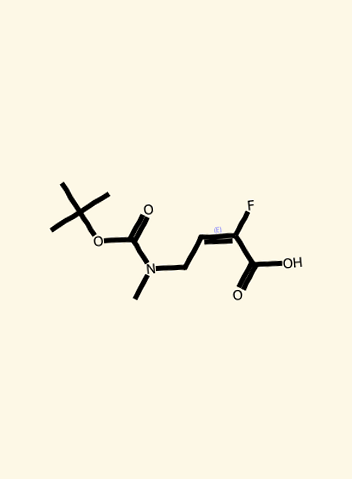 CN(C/C=C(/F)C(=O)O)C(=O)OC(C)(C)C